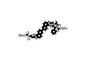 COC(=O)NCCc1nc2ccc3cc(-c4ccc5c(ccc6nc(CN(C(=O)[C@H](NC(=O)OC)c7ccccc7)[C@H](C)C(C)C)[nH]c65)c4)ccc3c2[nH]1